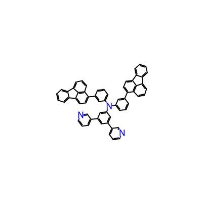 c1cncc(-c2cc(-c3cccnc3)cc(N(c3cccc(-c4ccc5c6c(cccc46)-c4ccccc4-5)c3)c3cccc(-c4ccc5c6c(cccc46)-c4ccccc4-5)c3)c2)c1